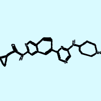 O=C(Nc1cc2cc(-c3cncc(NC4CCNCC4)n3)ccc2cn1)C1CC1